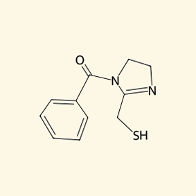 O=C(c1ccccc1)N1CCN=C1CS